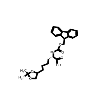 CC1(C)OCC(CCCC[C@H](NC(=O)OCC2c3ccccc3-c3ccccc32)C(=O)O)O1